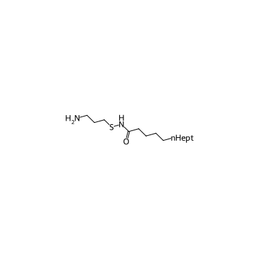 CCCCCCCCCCCC(=O)NSCCCN